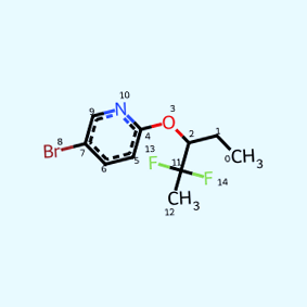 CCC(Oc1ccc(Br)cn1)C(C)(F)F